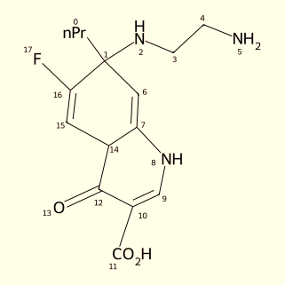 CCCC1(NCCN)C=C2NC=C(C(=O)O)C(=O)C2C=C1F